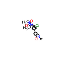 CN1C(=O)N(Cc2ccc(-c3ccc4c(c3)CN(C3CC3)C4=O)cc2Cl)C(C)(C)C1=O